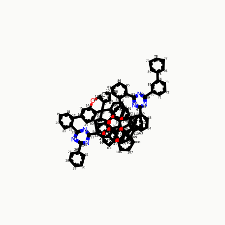 C1=CC2=C(CC1)C1(c3ccccc3Oc3cc(-c4ccccc4-c4nc(-c5ccccc5)nc(-c5ccc6c7c(ccc6c5)CCC=C7)n4)ccc31)c1cccc(-c3cccc(-c4cccc(-c5nc(-c6cccc(-c7ccccc7)c6)nc(-c6ccccc6-c6ccc7c(c6)Oc6ccccc6C76c7ccccc7-c7ccccc76)n5)c4)c3)c12